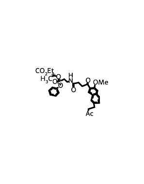 CCOC(=O)[C@@H](C)OP(=O)(CCNC(=O)CCC(=O)c1cc2cc(CCC(C)=O)ccc2cc1OC)Oc1ccccc1